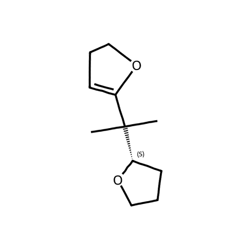 CC(C)(C1=CCCO1)[C@@H]1CCCO1